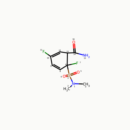 CN(C)S(=O)(=O)C1(F)C=CC(F)=CC1C(N)=O